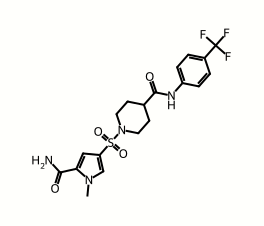 Cn1cc(S(=O)(=O)N2CCC(C(=O)Nc3ccc(C(F)(F)F)cc3)CC2)cc1C(N)=O